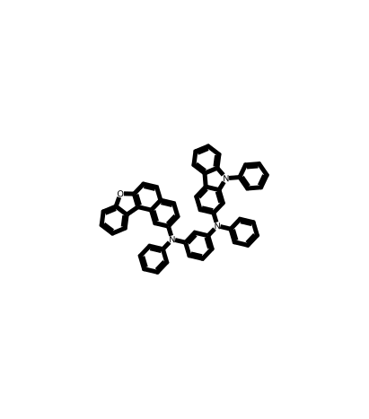 c1ccc(N(c2cccc(N(c3ccccc3)c3ccc4c5ccccc5n(-c5ccccc5)c4c3)c2)c2ccc3ccc4oc5ccccc5c4c3c2)cc1